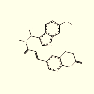 COc1ccc2c(C(C)N(C)C(=O)C=Cc3cnc4c(c3)CCC(=O)N4)c[nH]c2c1